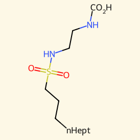 CCCCCCCCCCS(=O)(=O)NCCNC(=O)O